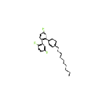 CCCCCCCCCCc1ccc(-c2cc(F)ccc2-c2cc(F)ccc2F)cc1